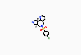 O=S(=O)(c1ccc(Cl)cc1)N1Cc2cccnc2[C@H]2CNC[C@@H]2C1